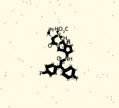 CC(C)C[C@@H](C(=O)N1CC2C(NC(=O)C(c3ccc(F)cc3)c3ccc(F)cc3)CC[C@@H]2C1)N(C)C(=O)O